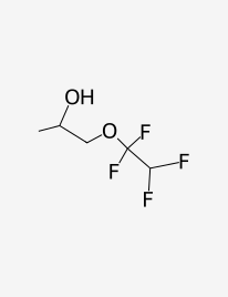 CC(O)COC(F)(F)C(F)F